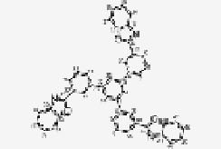 c1cc(-c2cc(-c3cccc(-c4nc5ccccc5o4)c3)cc(-c3cccc(-c4nc5ccccc5o4)c3)c2)cc(-c2nc3ccccc3o2)c1